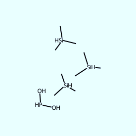 C[SiH](C)C.C[SiH](C)C.C[SiH](C)C.OPO